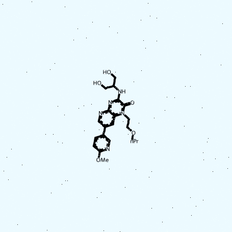 CCCOCCn1c(=O)c(NC(CO)CO)nc2ncc(-c3ccc(OC)nc3)cc21